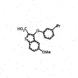 COc1ccc2sc(C(=O)O)c(Oc3cccc(C(C)C)c3)c2c1